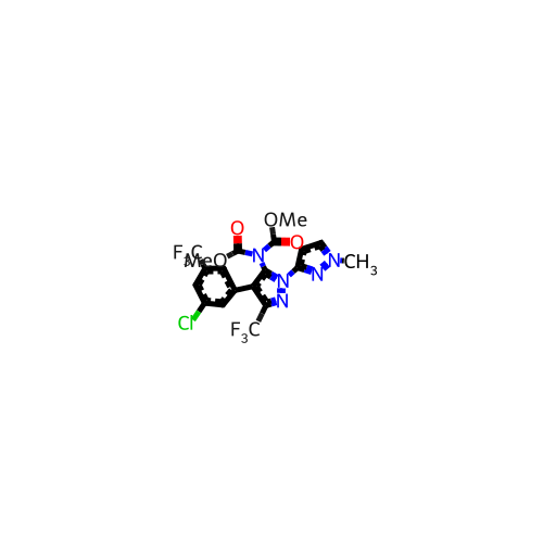 COC(=O)N(C(=O)OC)c1c(-c2cc(Cl)cc(C(F)(F)F)c2)c(C(F)(F)F)nn1-c1ccn(C)n1